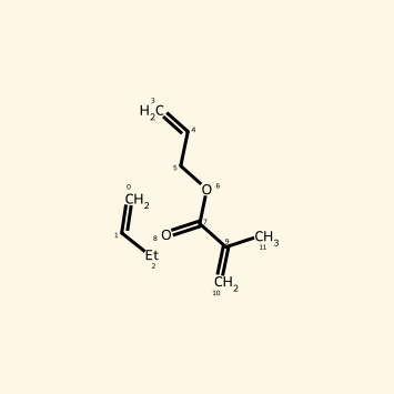 C=CCC.C=CCOC(=O)C(=C)C